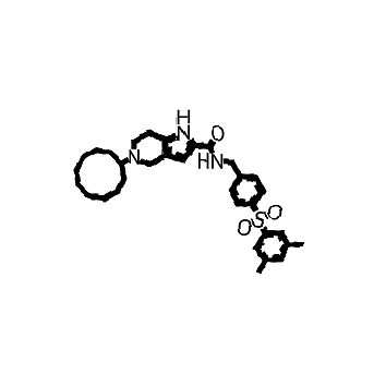 Cc1cc(C)cc(S(=O)(=O)c2ccc(CNC(=O)c3cc4c([nH]3)CCN(C3CCCCCCCCC3)C4)cc2)c1